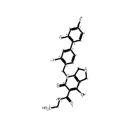 O=C(O)CNC(=O)c1c(O)c2c(n(Cc3ccc(-c4ccc(F)cc4Cl)cc3F)c1=O)COC2